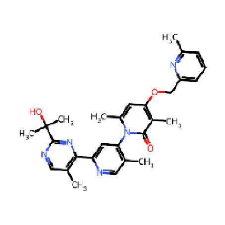 Cc1cccc(COc2cc(C)n(-c3cc(-c4nc(C(C)(C)O)ncc4C)ncc3C)c(=O)c2C)n1